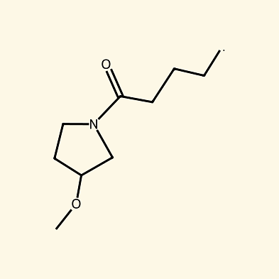 [CH2]CCCC(=O)N1CCC(OC)C1